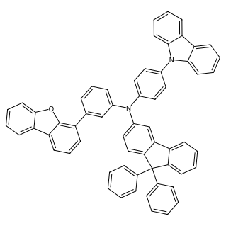 c1ccc(C2(c3ccccc3)c3ccccc3-c3cc(N(c4ccc(-n5c6ccccc6c6ccccc65)cc4)c4cccc(-c5cccc6c5oc5ccccc56)c4)ccc32)cc1